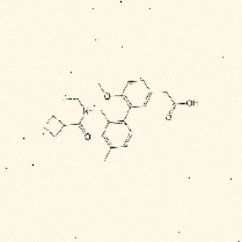 CCN(Cc1cc(C)ccc1-c1cc(CC(=O)O)ccc1OC)C(=O)C1CCC1